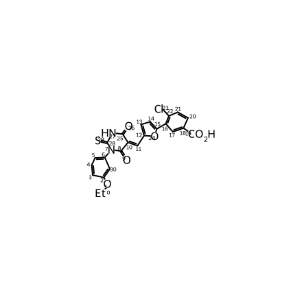 CCOc1cccc(N2C(=O)/C(=C/c3ccc(-c4cc(C(=O)O)ccc4Cl)o3)C(=O)NC2=S)c1